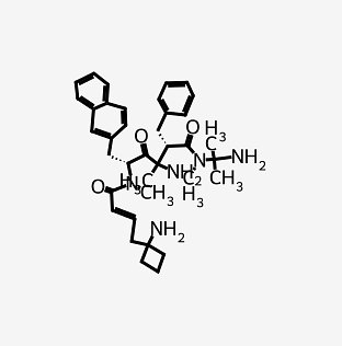 CN(C(=O)/C=C/CC1(N)CCC1)[C@H](Cc1ccc2ccccc2c1)C(=O)C(C)(N)[C@H](Cc1ccccc1)C(=O)N(C)C(C)(C)N